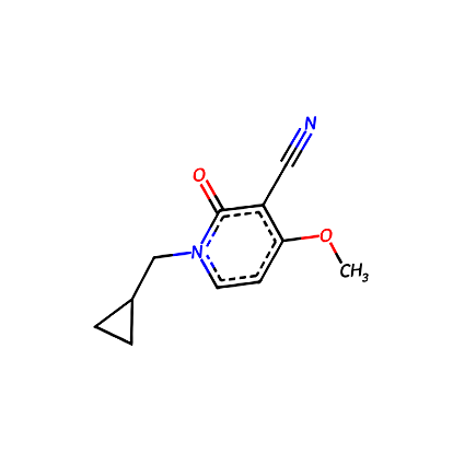 COc1ccn(CC2CC2)c(=O)c1C#N